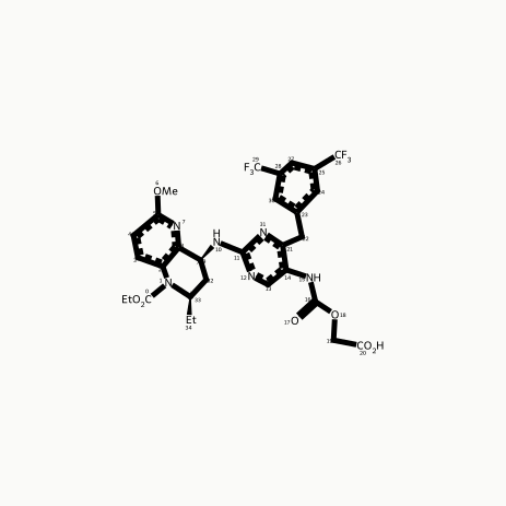 CCOC(=O)N1c2ccc(OC)nc2[C@@H](Nc2ncc(NC(=O)OCC(=O)O)c(Cc3cc(C(F)(F)F)cc(C(F)(F)F)c3)n2)C[C@H]1CC